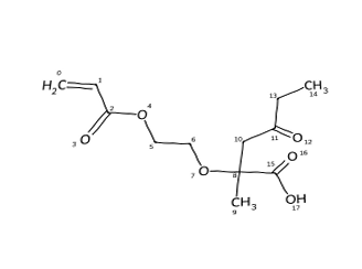 C=CC(=O)OCCOC(C)(CC(=O)CC)C(=O)O